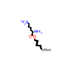 CCCCCCCCCCCCCCOC(=O)[C@@H](N)CCCCN